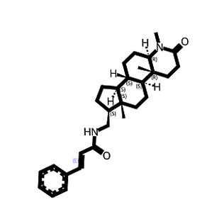 CN1C(=O)CC[C@]2(C)[C@H]3CC[C@]4(C)[C@@H](CNC(=O)/C=C/c5ccccc5)CC[C@H]4[C@@H]3CC[C@@H]12